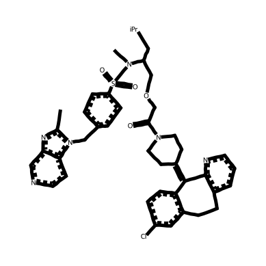 Cc1nc2cnccc2n1Cc1ccc(S(=O)(=O)N(C)C(COCC(=O)N2CCC(=C3c4ccc(Cl)cc4CCc4cccnc43)CC2)CC(C)C)cc1